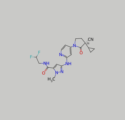 Cn1nc(Nc2cc(N3CC[C@@](C#N)(C4CC4)C3=O)ccn2)cc1C(=O)NCC(F)F